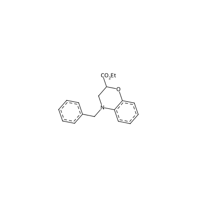 CCOC(=O)C1CN(Cc2ccccc2)c2ccccc2O1